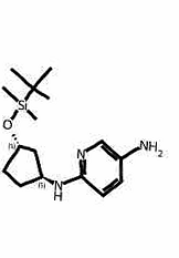 CC(C)(C)[Si](C)(C)O[C@H]1CC[C@H](Nc2ccc(N)cn2)C1